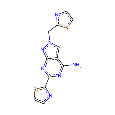 Nc1nc(-c2nccs2)nc2nn(Cc3nccs3)cc12